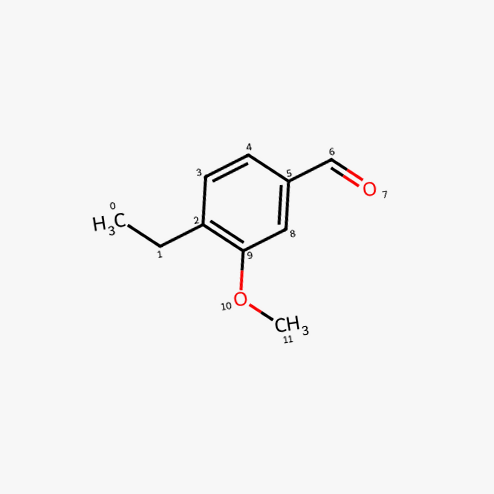 CCc1ccc(C=O)cc1OC